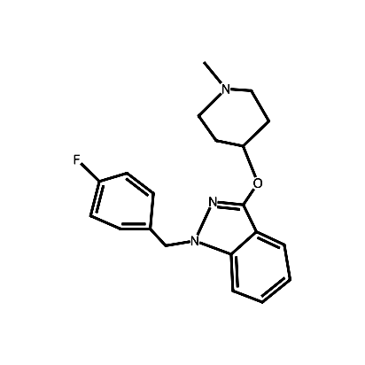 CN1CCC(Oc2nn(Cc3ccc(F)cc3)c3ccccc23)CC1